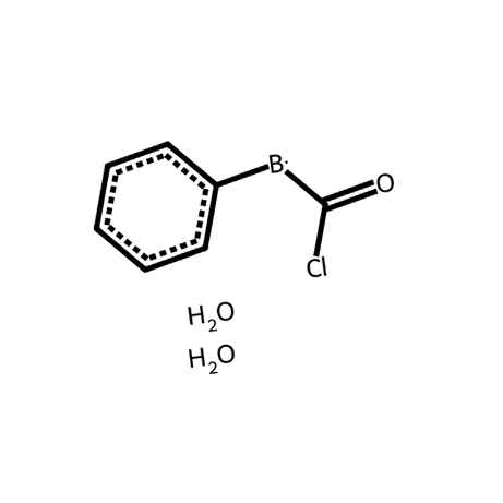 O.O.O=C(Cl)[B]c1ccccc1